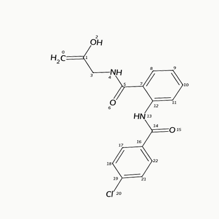 C=C(O)CNC(=O)c1ccccc1NC(=O)c1ccc(Cl)cc1